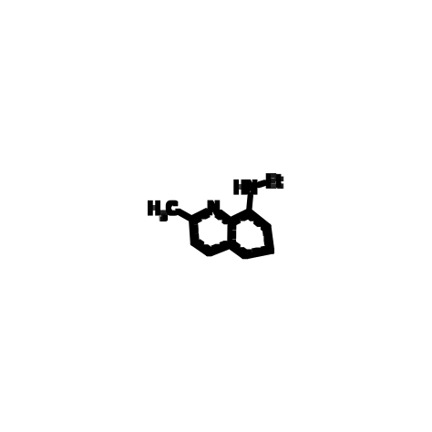 CCNc1cccc2ccc(C)nc12